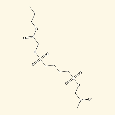 CCCOS(=O)COS(=O)(=O)CCCCS(=O)(=O)OC[S+](C)[O-]